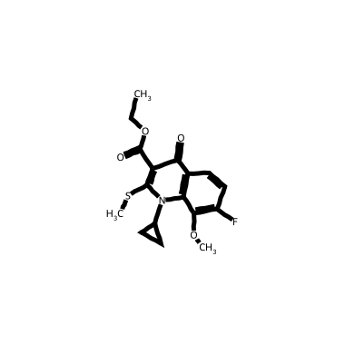 CCOC(=O)c1c(SC)n(C2CC2)c2c(OC)c(F)ccc2c1=O